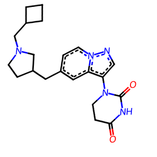 O=C1CCN(c2cnn3ccc(CC4CCN(CC5CCC5)C4)cc23)C(=O)N1